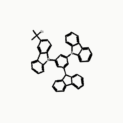 CCC(C)(C)c1ccc2c(c1)c1ccccc1n2-c1cc(C2c3ccccc3-c3ccccc32)cc(-n2c3ccccc3c3ccccc32)c1